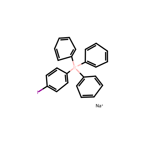 Ic1ccc([B-](c2ccccc2)(c2ccccc2)c2ccccc2)cc1.[Na+]